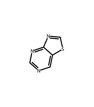 [c]1nc2ncncc2s1